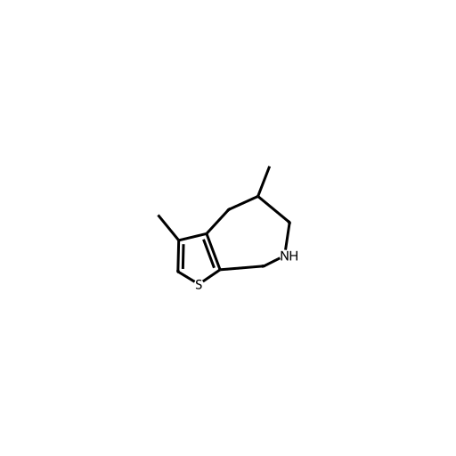 Cc1csc2c1CC(C)CNC2